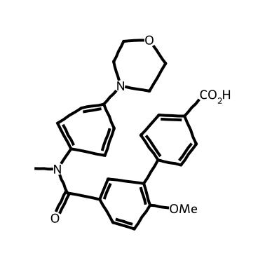 COc1ccc(C(=O)N(C)c2ccc(N3CCOCC3)cc2)cc1-c1ccc(C(=O)O)cc1